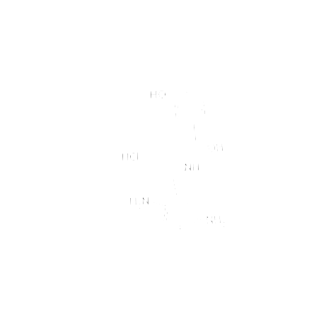 Cl.Nc1ccc(N)c(CNCC(O)c2cccc(O)c2)c1